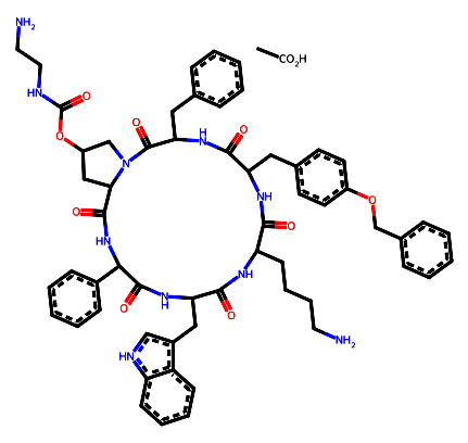 CC(=O)O.NCCCCC1NC(=O)C(Cc2c[nH]c3ccccc23)NC(=O)C(c2ccccc2)NC(=O)C2CC(OC(=O)NCCN)CN2C(=O)C(Cc2ccccc2)NC(=O)C(Cc2ccc(OCc3ccccc3)cc2)NC1=O